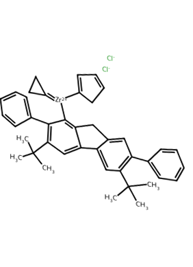 CC(C)(C)c1cc2c(cc1-c1ccccc1)Cc1c-2cc(C(C)(C)C)c(-c2ccccc2)[c]1[Zr+2]([C]1=CC=CC1)=[C]1CC1.[Cl-].[Cl-]